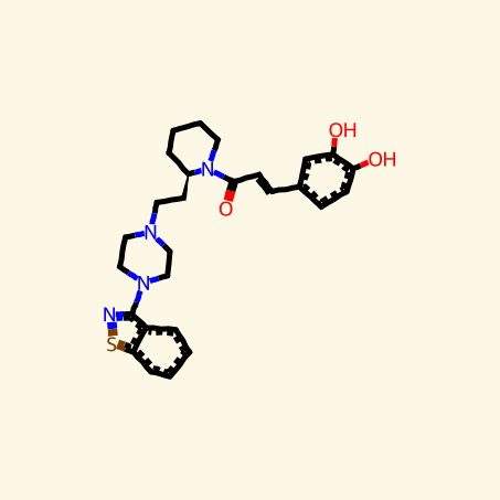 O=C(/C=C/c1ccc(O)c(O)c1)N1CCCC[C@@H]1CCN1CCN(c2nsc3ccccc23)CC1